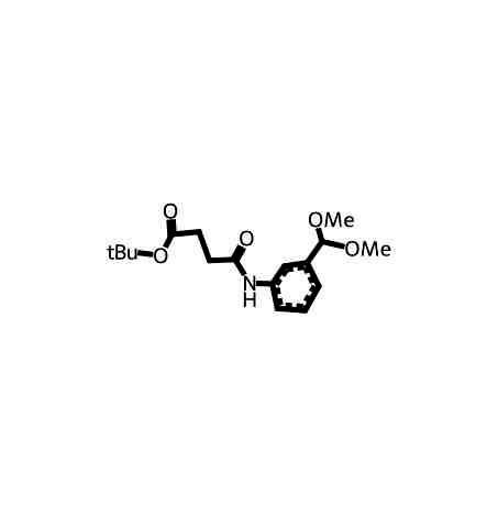 COC(OC)c1cccc(NC(=O)CCC(=O)OC(C)(C)C)c1